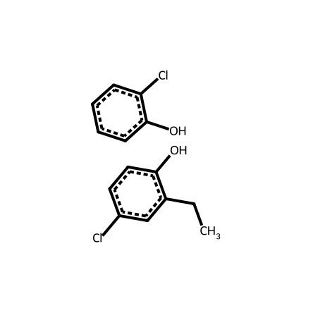 CCc1cc(Cl)ccc1O.Oc1ccccc1Cl